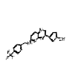 Oc1ccc(-c2cnc3ccc(NCc4ccc(C(F)(F)F)cc4)nc3n2)cc1